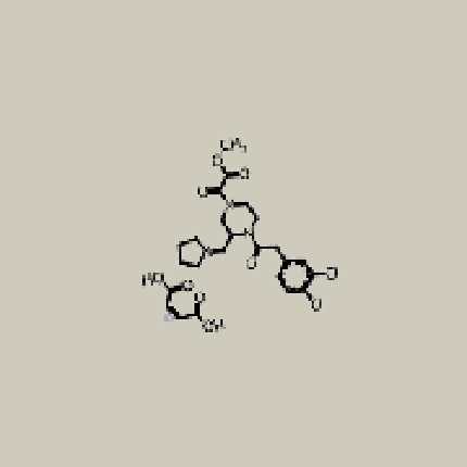 COC(=O)C(=O)N1CCN(C(=O)Cc2ccc(Cl)c(Cl)c2)C(CN2CCCC2)C1.O=C(O)/C=C\C(=O)O